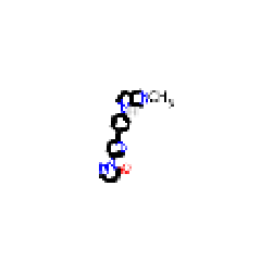 CN1CC2CCN(c3ccc(-c4ccc(-n5ncccc5=O)cn4)cc3)[C@H]2C1